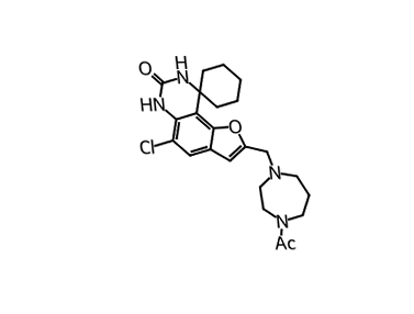 CC(=O)N1CCCN(Cc2cc3cc(Cl)c4c(c3o2)C2(CCCCC2)NC(=O)N4)CC1